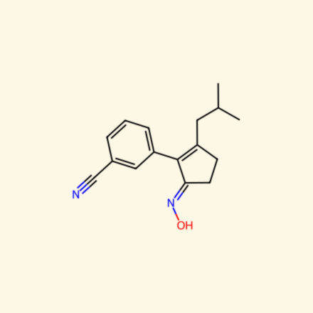 CC(C)CC1=C(c2cccc(C#N)c2)C(=NO)CC1